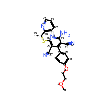 COCCOc1ccc(-c2c(C#N)c(N)nc(S[C@H](C)c3ccccn3)c2C#N)cc1